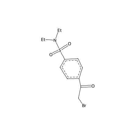 CCN(CC)S(=O)(=O)c1ccc(C(=O)CBr)cc1